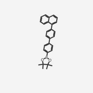 CC1(C)OB(c2ccc(-c3ccc(-c4cccc5ccccc45)cc3)cc2)OC1(C)C